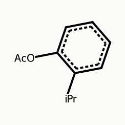 CC(=O)Oc1ccccc1C(C)C